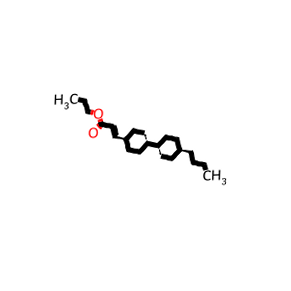 CCCC[C@H]1CC[C@H]([C@H]2CC[C@H](C=CC(=O)OCCC)CC2)CC1